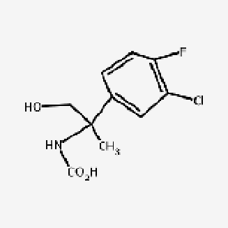 CC(CO)(NC(=O)O)c1ccc(F)c(Cl)c1